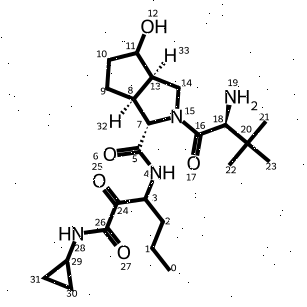 CCCC(NC(=O)[C@@H]1[C@H]2CCC(O)[C@H]2CN1C(=O)[C@@H](N)C(C)(C)C)C(=O)C(=O)NC1CC1